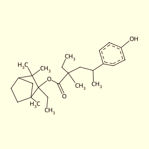 CCC(C)(CC(C)c1ccc(O)cc1)C(=O)OC1(CC)C2(C)CCC(C2)C1(C)C